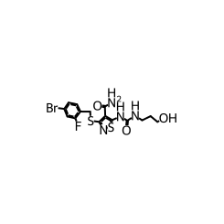 NC(=O)c1c(SCc2ccc(Br)cc2F)nsc1NC(=O)NCCCO